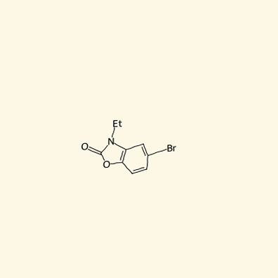 CCn1c(=O)oc2ccc(Br)cc21